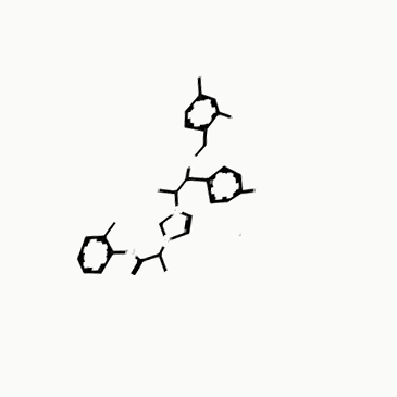 Br.Cc1ccccc1NC(=O)C(C)N1C=CN(C(Cl)C(OCc2ccc(Cl)cc2Cl)c2ccc(Cl)cc2)C1